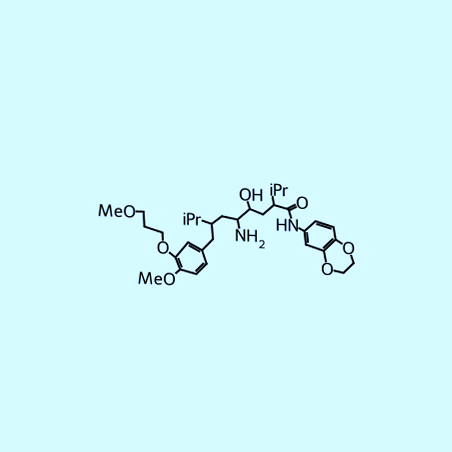 COCCCOc1cc(CC(CC(N)C(O)CC(C(=O)Nc2ccc3c(c2)OCCO3)C(C)C)C(C)C)ccc1OC